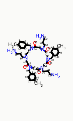 Cc1ccc(CN2CCN(CCCN)CC(=O)N(Cc3ccc(C)cc3)CC(=O)N(CCCN)CC(=O)N(Cc3ccc(C)cc3)CC(=O)N(CCCN)CC2=O)cc1